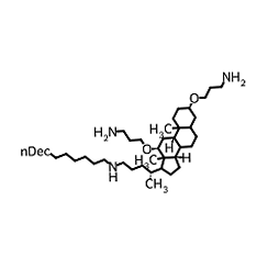 CCCCCCCCCCCCCCCCNCCC[C@@H](C)C1CC[C@H]2C3CCC4C[C@H](OCCCN)CCC4(C)[C@H]3C[C@H](OCCCN)C12C